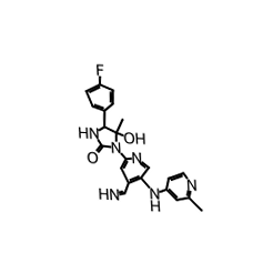 Cc1cc(Nc2cnc(N3C(=O)NC(c4ccc(F)cc4)C3(C)O)cc2C=N)ccn1